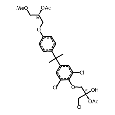 COC[C@H](COc1ccc(C(C)(C)c2cc(Cl)c(OC[C@](O)(CCl)OC(C)=O)c(Cl)c2)cc1)OC(C)=O